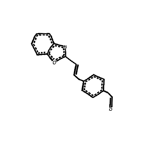 O=Cc1ccc(C=Cc2nc3ccccc3o2)cc1